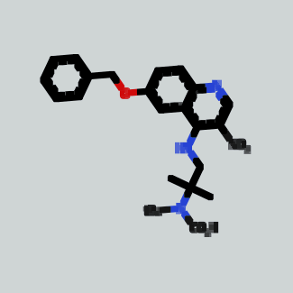 CC(C)(C)N(C(=O)O)C(C)(C)CNc1c([N+](=O)[O-])cnc2ccc(OCc3ccccc3)cc12